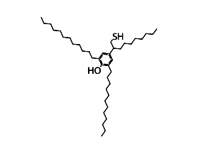 CCCCCCCCCCCCc1cc(C(CS)CCCCCCCC)cc(CCCCCCCCCCCC)c1O